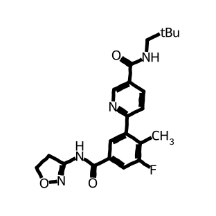 Cc1c(F)cc(C(=O)NC2=NOCC2)cc1-c1ccc(C(=O)NCC(C)(C)C)cn1